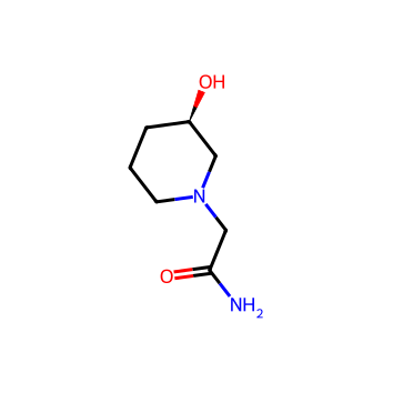 NC(=O)CN1CCC[C@@H](O)C1